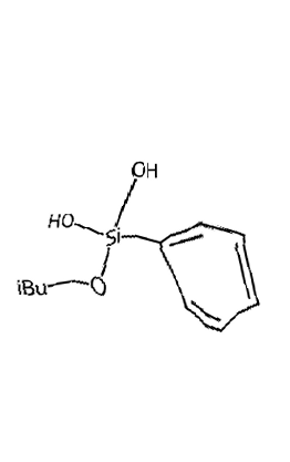 CCC(C)O[Si](O)(O)c1ccccc1